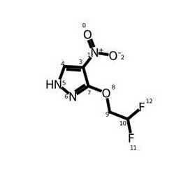 O=[N+]([O-])c1c[nH]nc1OCC(F)F